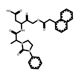 CC(C(=O)NC(CC(=O)O)C(=O)COC(=O)Cc1cccc2ccccc12)N1CCN(c2ccccc2)C1=O